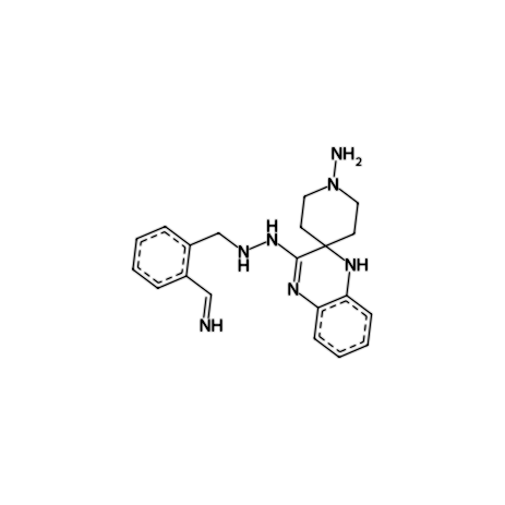 N=Cc1ccccc1CNNC1=Nc2ccccc2NC12CCN(N)CC2